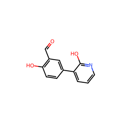 O=Cc1cc(-c2cccnc2O)ccc1O